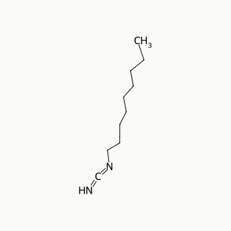 CCCCCCCCCN=C=N